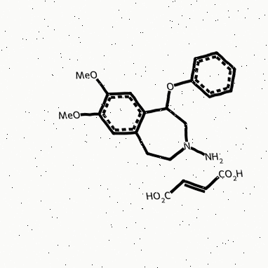 COc1cc2c(cc1OC)C(Oc1ccccc1)CN(N)CC2.O=C(O)C=CC(=O)O